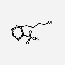 CS(=O)(=O)c1cccnc1CCCCO